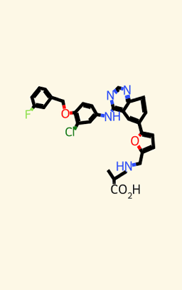 CC(CNCc1ccc(-c2ccc3ncnc(Nc4ccc(OCc5cccc(F)c5)c(Cl)c4)c3c2)o1)C(=O)O